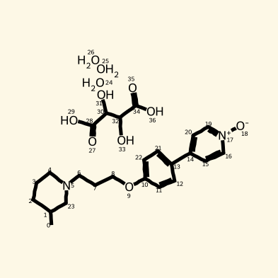 CC1CCCN(CCCOc2ccc(-c3cc[n+]([O-])cc3)cc2)C1.O.O.O.O=C(O)C(O)C(O)C(=O)O